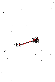 CCC=CCC=CCC=CCC=CCC=CCC=CCCC(=O)Nc1ccc2c(c1)OCCO2